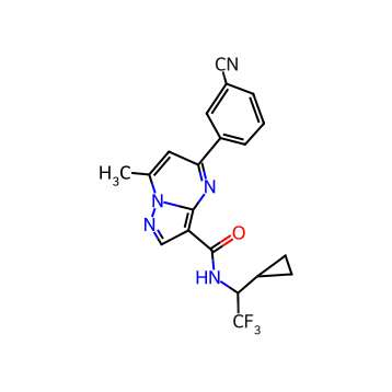 Cc1cc(-c2cccc(C#N)c2)nc2c(C(=O)NC(C3CC3)C(F)(F)F)cnn12